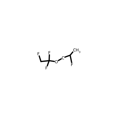 CC(F)COC(F)(F)CF